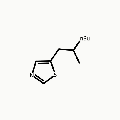 CCCCC(C)Cc1cncs1